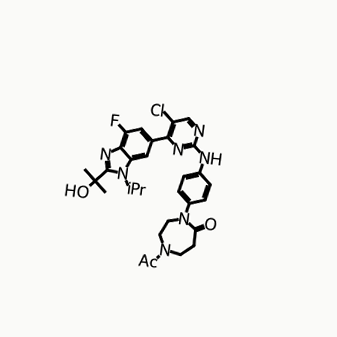 CC(=O)N1CCC(=O)N(c2ccc(Nc3ncc(Cl)c(-c4cc(F)c5nc(C(C)(C)O)n(C(C)C)c5c4)n3)cc2)CC1